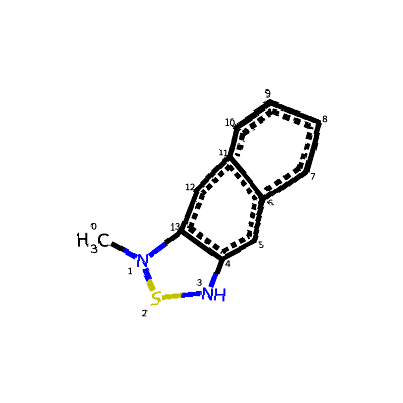 CN1SNc2cc3ccccc3cc21